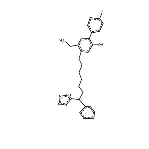 CCc1cc(-c2ccc(F)cc2)c(O)cc1OCCCCCC(c1ccccc1)c1nnn[nH]1